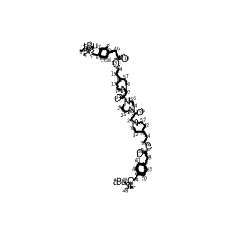 CC(C)(C)[Si](C)(C)OCc1ccc(CC(=O)OCCC2CCN(CC(=O)N3CCN(C(=O)CN4CCC(CCOC(=O)Cc5ccc(CO[Si](C)(C)C(C)(C)C)cc5)CC4)CC3)CC2)cc1